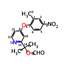 Cc1cc([N+](=O)[O-])ccc1Oc1ccnc(C(C)(C)OC=O)c1